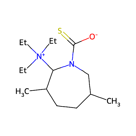 CC[N+](CC)(CC)C1C(C)CCC(C)CN1C([O-])=S